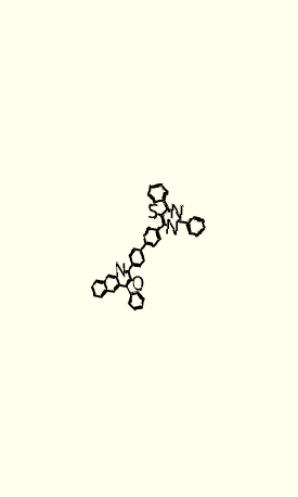 c1ccc(-c2nc(-c3ccc(-c4ccc(-c5nc6cc7ccccc7cc6c6c5oc5ccccc56)cc4)cc3)c3sc4ccccc4c3n2)cc1